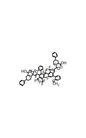 COc1ccccc1-c1cc(Sc2cc(-c3ccccc3OC)c(/C=C/C(=O)N3CCC(c4ccccc4)CC3C(=O)O)c(C(F)(F)F)c2C(F)(F)F)c(C(F)(F)F)c(C(F)(F)F)c1/C=C/C(=O)N1CCC(c2ccccc2)CC1C(=O)O